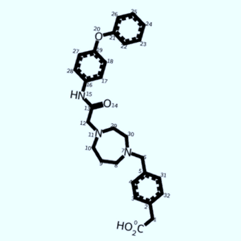 O=C(O)Cc1ccc(CN2CCCN(CC(=O)Nc3ccc(Oc4ccccc4)cc3)CC2)cc1